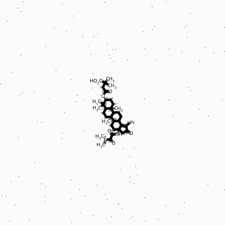 CC(C)C1=C2C3CCC4[C@@](C)(CCC5C(C)(C)[C@@H](OC(=O)CC(C)(C)C(=O)O)CC[C@@]54C)C3CC[C@@]2(NC(=O)C(=O)N(C)C)CC1=O